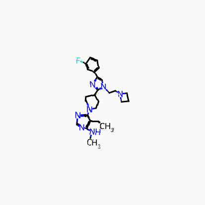 CCc1c(NC)ncnc1N1CCC(c2nc(-c3cccc(F)c3)cn2CCN2CCC2)CC1